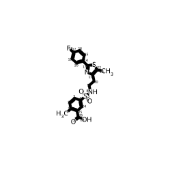 Cc1ccc(S(=O)(=O)NCCc2nc(-c3ccc(F)cc3)sc2C)cc1C(=O)O